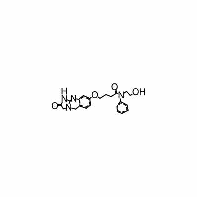 O=C1CN2Cc3ccc(OCCCC(=O)N(CCO)c4ccccc4)cc3N=C2N1